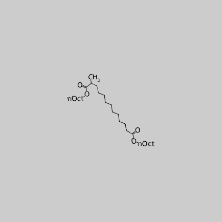 CCCCCCCCOC(=O)CCCCCCCCCCC(C)C(=O)OCCCCCCCC